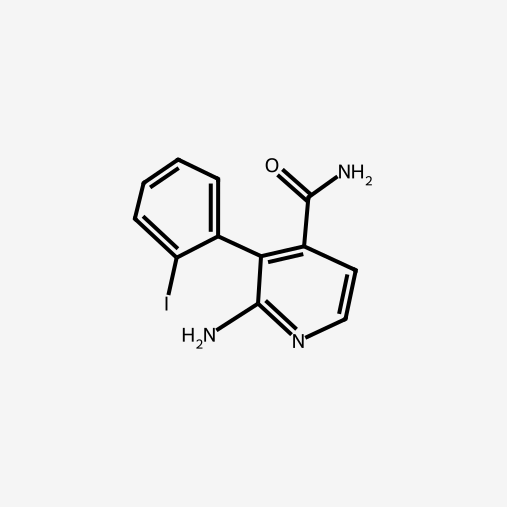 NC(=O)c1ccnc(N)c1-c1ccccc1I